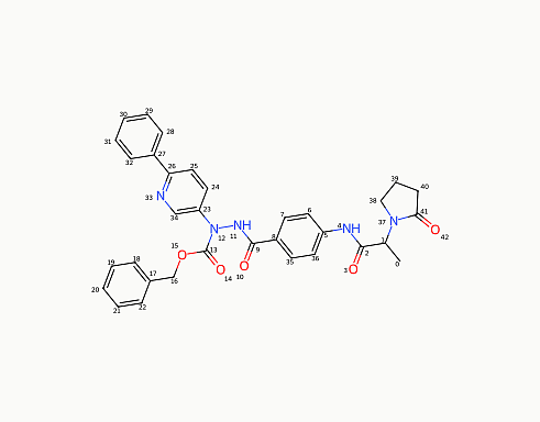 CC(C(=O)Nc1ccc(C(=O)NN(C(=O)OCc2ccccc2)c2ccc(-c3ccccc3)nc2)cc1)N1CCCC1=O